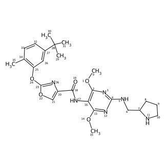 COc1nc(NCC2CCCN2)nc(OC)c1NC(=O)c1coc(Oc2cc(C(C)(C)C)ccc2C)n1